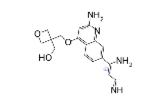 N=C/C=C(\N)c1ccc2c(OCC3(CO)COC3)cc(N)nc2c1